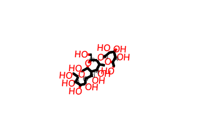 CC1C(O[C@@H]2OC(CO)[C@@H](O)C(O)C2O)[C@H](CO)OC(CO)C([C@H](O)[C@@H]2OC(CO)[C@@H](O)C(O)C2O)[C@H]1O